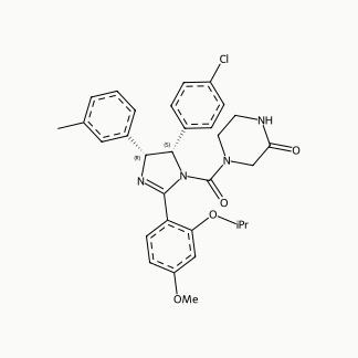 COc1ccc(C2=N[C@H](c3cccc(C)c3)[C@H](c3ccc(Cl)cc3)N2C(=O)N2CCNC(=O)C2)c(OC(C)C)c1